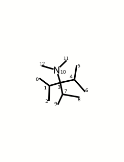 CC(C)C(C(C)C)(C(C)C)N(C)C